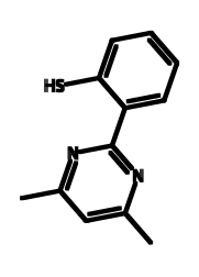 Cc1cc(C)nc(-c2ccccc2S)n1